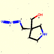 [N-]=[N+]=NC[C@]1(CO)CCNC1